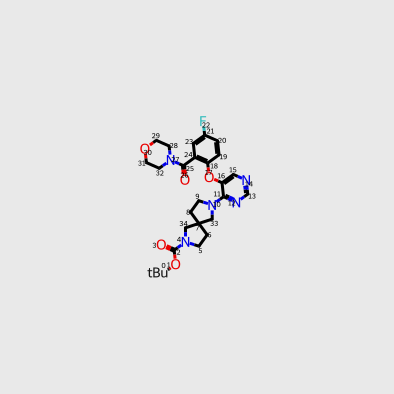 CC(C)(C)OC(=O)N1CCC2(CCN(c3ncncc3Oc3ccc(F)cc3C(=O)N3CCOCC3)C2)C1